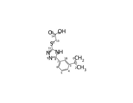 C=C(C)c1cccc(-c2nnc(SCC(=O)O)[nH]2)c1